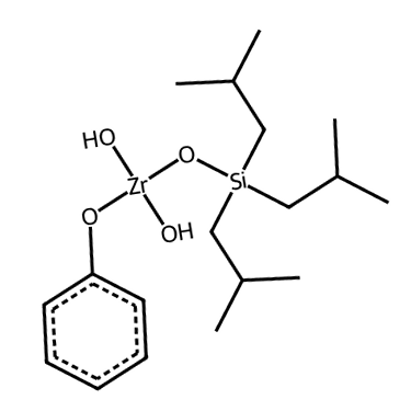 CC(C)C[Si](CC(C)C)(CC(C)C)[O][Zr]([OH])([OH])[O]c1ccccc1